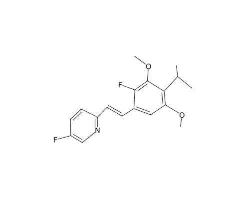 COc1cc(C=Cc2ccc(F)cn2)c(F)c(OC)c1C(C)C